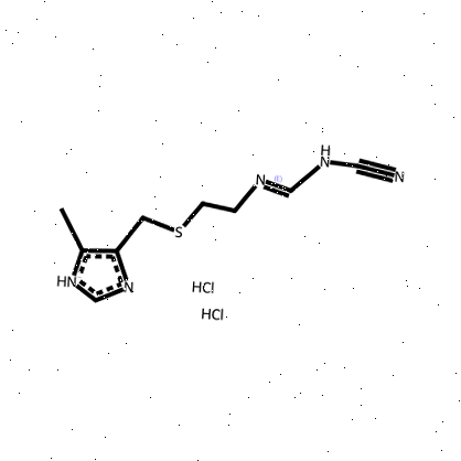 Cc1[nH]cnc1CSCC/N=C/NC#N.Cl.Cl